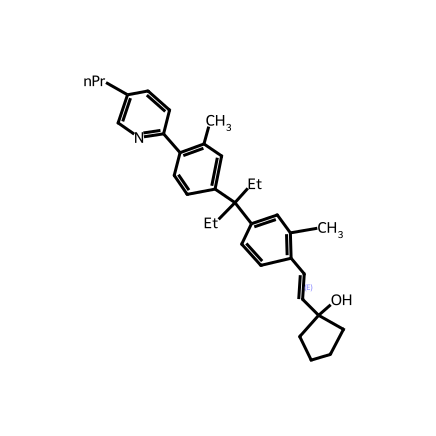 CCCc1ccc(-c2ccc(C(CC)(CC)c3ccc(/C=C/C4(O)CCCC4)c(C)c3)cc2C)nc1